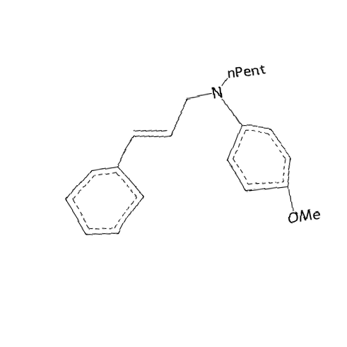 CCCCCN(C/C=C/c1ccccc1)c1ccc(OC)cc1